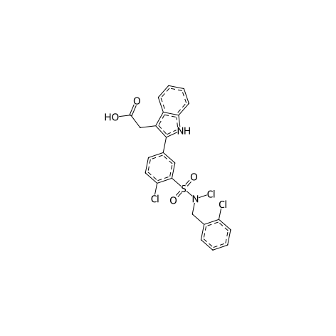 O=C(O)Cc1c(-c2ccc(Cl)c(S(=O)(=O)N(Cl)Cc3ccccc3Cl)c2)[nH]c2ccccc12